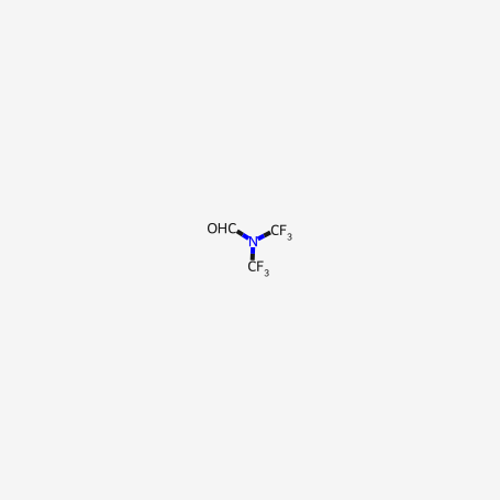 O=CN(C(F)(F)F)C(F)(F)F